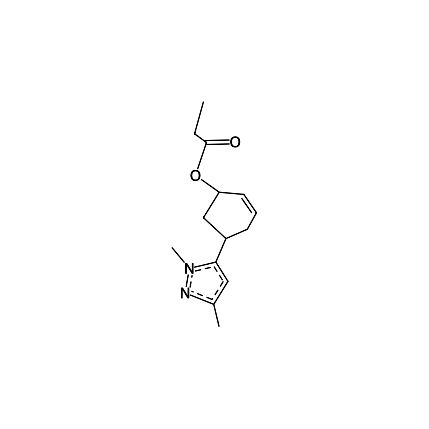 CCC(=O)OC1C=CCC(c2cc(C)nn2C)C1